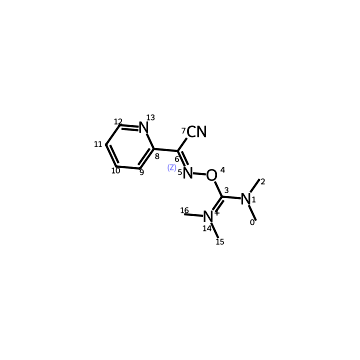 CN(C)C(O/N=C(\C#N)c1ccccn1)=[N+](C)C